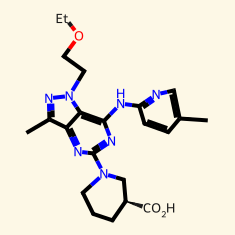 CCOCCn1nc(C)c2nc(N3CCC[C@H](C(=O)O)C3)nc(Nc3ccc(C)cn3)c21